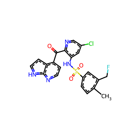 Cc1ccc(S(=O)(=O)Nc2cc(Cl)cnc2C(=O)c2ccnc3[nH]ccc23)cc1CF